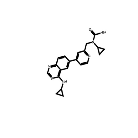 CCCCC(=O)N(Cc1cc(-c2ccc3ncnc(NC4CC4)c3c2)ccn1)C1CC1